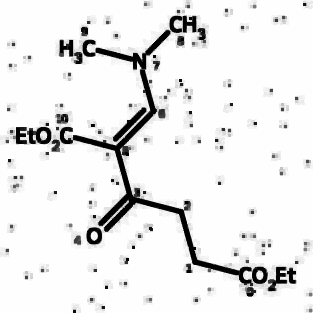 CCOC(=O)CCC(=O)C(=CN(C)C)C(=O)OCC